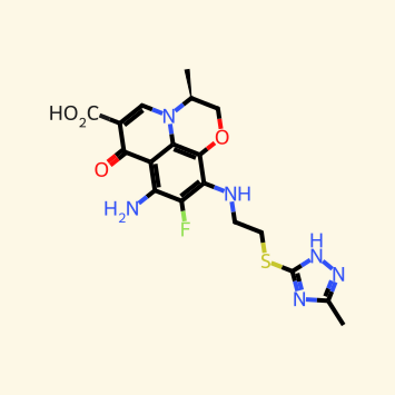 Cc1n[nH]c(SCCNc2c(F)c(N)c3c(=O)c(C(=O)O)cn4c3c2OC[C@@H]4C)n1